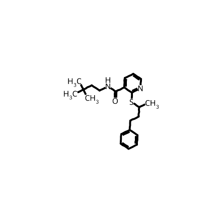 CC(CCc1ccccc1)Sc1ncccc1C(=O)NCCC(C)(C)C